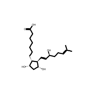 CC(C)=CCC[C@H](O)/C=C/[C@@H]1[C@@H](CCCCCCC(=O)O)[C@@H](O)C[C@H]1O